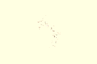 COc1ccc(Cn2[nH]c3c2[C@@]2(CC[C@H]3OC(=O)/C=C/c3cc(OC)c(OC)c(OC)c3)CO2)cc1